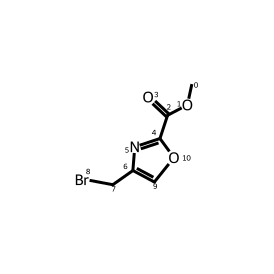 COC(=O)c1nc(CBr)co1